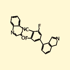 O=c1cnc2ccccc2n1Cc1c(F)cc(-c2cccc3c2C=NC3)cc1F